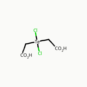 O=C(O)C[Te](Cl)(Cl)CC(=O)O